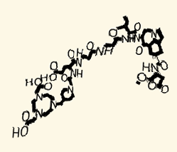 CCC(C)C(NC(=O)CCNC(=O)CCNC(=O)C(CCC(=O)O)NC(=O)CN1CCC(CN2CCN(CC(=O)O)CCN(CC(=O)O)CC2)CC1)C(=O)N[C@H]1CCn2ccc3c2C(=C[C@@H](C(=O)N[C@@H]2CC(=O)O[C@H]2OC)C3)C1=O